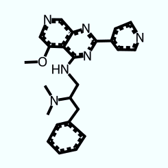 COc1cncc2nc(-c3ccncc3)nc(NCC(Cc3ccccc3)N(C)C)c12